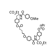 CCCC(=O)Oc1ccc(CC(NC(=O)c2ccc(O/C=C/CCC(=O)Oc3ccc(CC(NC(=O)c4ccc(OC)cc4)C(=O)OCC)cc3)cc2)C(=O)OCC)cc1